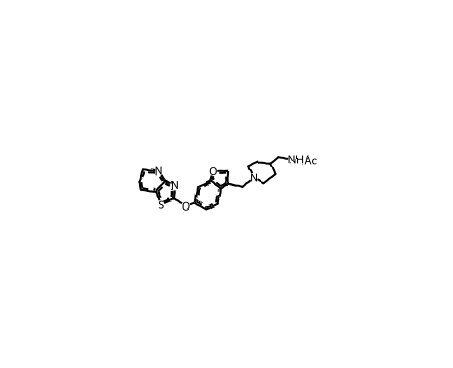 CC(=O)NCC1CCN(Cc2coc3cc(Oc4nc5ncccc5s4)ccc23)CC1